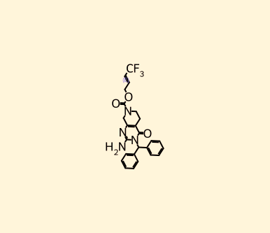 Nc1nc2c(c(=O)n1C(c1ccccc1)c1ccccc1)CCN(C(=O)OC/C=C/C(F)(F)F)C2